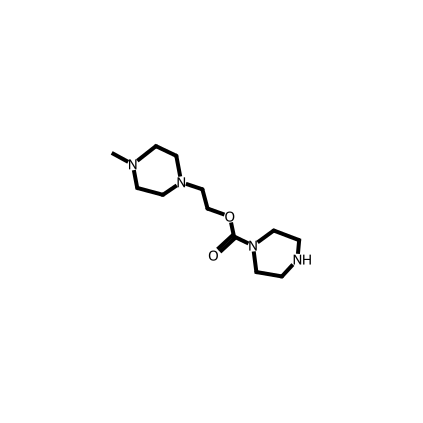 CN1CCN(CCOC(=O)N2CCNCC2)CC1